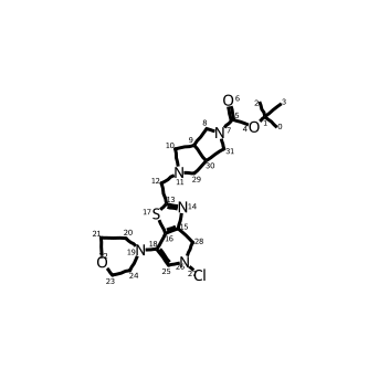 CC(C)(C)OC(=O)N1CC2CN(Cc3nc4c(s3)C(N3CCOCC3)=CN(Cl)C4)CC2C1